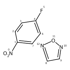 O=[N+]([O-])c1ccc(F)cc1.c1cnon1